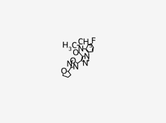 CC(C)n1c(=O)c2c(-c3nc(C4CCCO4)no3)ncn2c2ccc(F)cc21